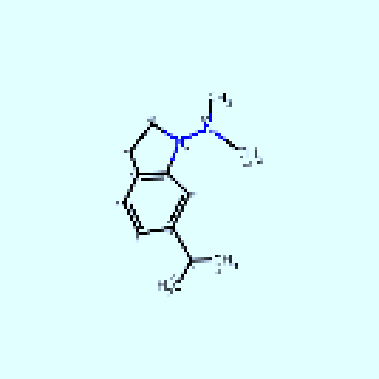 CC(C)c1ccc2c(c1)N(N(C)C)CC2